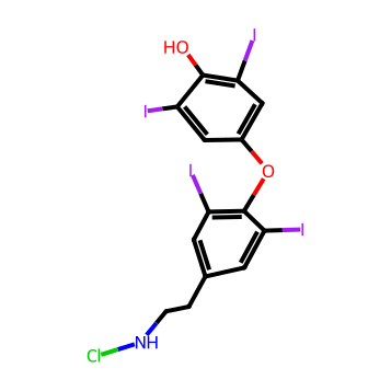 Oc1c(I)cc(Oc2c(I)cc(CCNCl)cc2I)cc1I